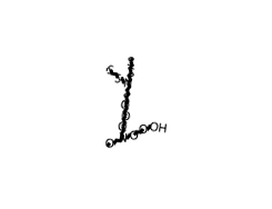 COCCCN(CCOCCOCCO)CCOCCOCCOCSCCCN(CCSCCSC)CCSCCSC